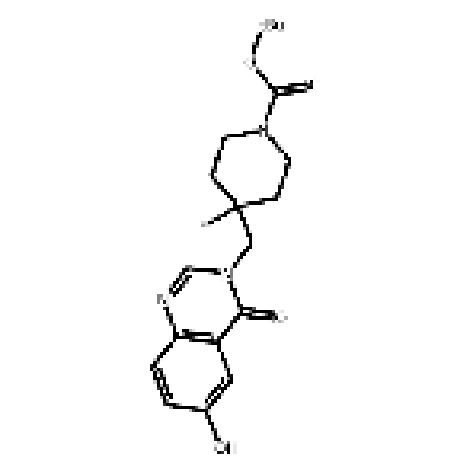 CC(C)(C)OC(=O)N1CCC(F)(Cn2cnc3ccc(O)cc3c2=O)CC1